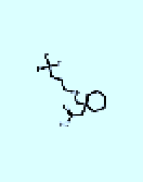 O=C(O)CC1(CNCCCC(F)(F)F)CCCCC1